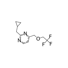 FC(F)(F)COCc1ccnc(CC2CC2)n1